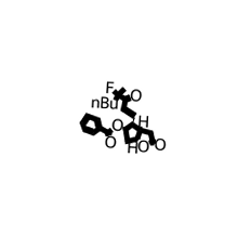 CCCCC(C)(F)C(=O)/C=C/[C@@H]1[C@H]2CC(=O)O[C@H]2C[C@H]1OC(=O)c1ccccc1